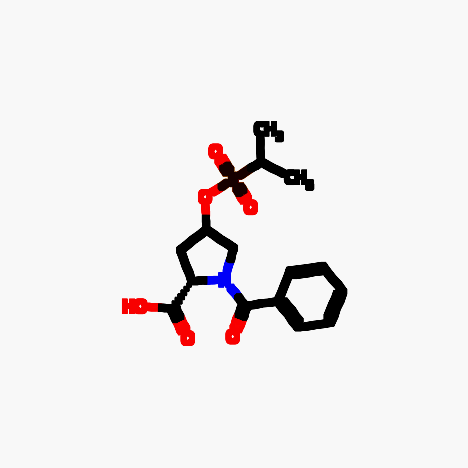 CC(C)S(=O)(=O)OC1C[C@@H](C(=O)O)N(C(=O)c2ccccc2)C1